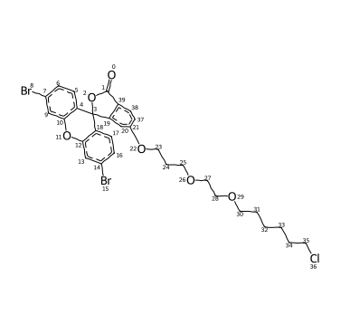 O=C1OC2(c3ccc(Br)cc3Oc3cc(Br)ccc32)c2cc(OCCCOCCOCCCCCCCl)ccc21